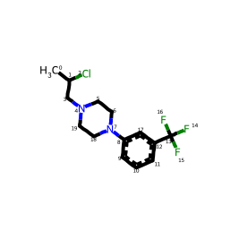 CC(Cl)CN1CCN(c2cccc(C(F)(F)F)c2)CC1